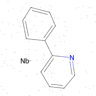 [Nb].c1ccc(-c2ccccn2)cc1